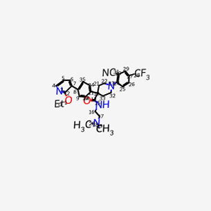 CCOc1ncccc1-c1ccc(C2(C(=O)NCCN(C)C)CCN(c3ccc(C(F)(F)F)cc3C#N)CC2)cc1